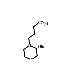 Br.O=C(O)CCCN1CCSCC1